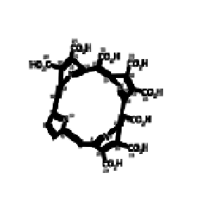 O=C(O)C1=C2N=C(C=C3C=CC(=N3)C=C3N=C(C(C(=O)O)=C4N=C1C(C(=O)O)=C4C(=O)O)C(C(=O)O)=C3C(=O)O)C(C(=O)O)=C2C(=O)O